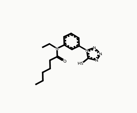 CCCCCC(=O)N(CC)c1cccc(-n2nnnc2S)c1